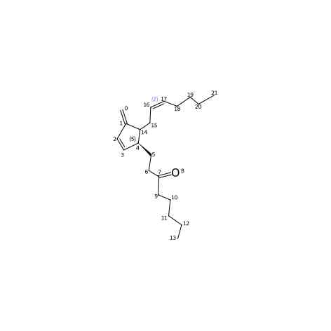 C=C1C=C[C@H](CCC(=O)CCCCC)C1C/C=C\CCCC